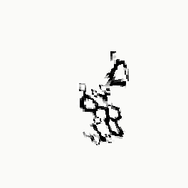 O=C(O)COc1ccc(Cl)cc1C1c2ccccc2CCN1C(=O)COc1cncc(F)c1